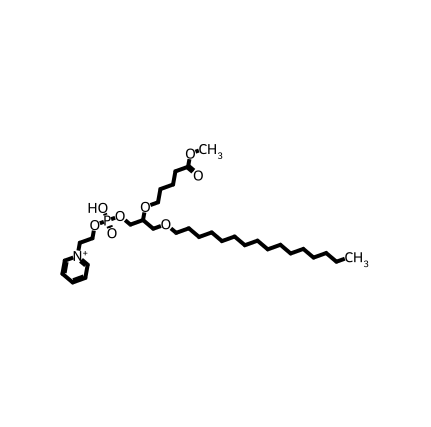 CCCCCCCCCCCCCCCCOCC(COP(=O)(O)OCC[n+]1ccccc1)OCCCCC(=O)OC